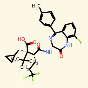 Cc1ccc(C2=N[C@@H](NC(=O)[C@H](CCC(F)(F)F)[C@](CC3CC3)(C(=O)O)C(C)(C)C)C(=O)Nc3c(F)cccc32)cc1